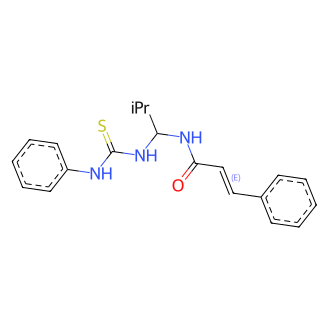 CC(C)C(NC(=O)/C=C/c1ccccc1)NC(=S)Nc1ccccc1